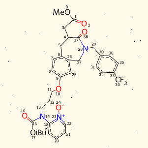 COC(=O)CC1Cc2ccc(OCCCN(C(=O)OCC(C)C)c3cccc[n+]3[O-])cc2CN(Cc2ccc(C(F)(F)F)cc2)C1=O